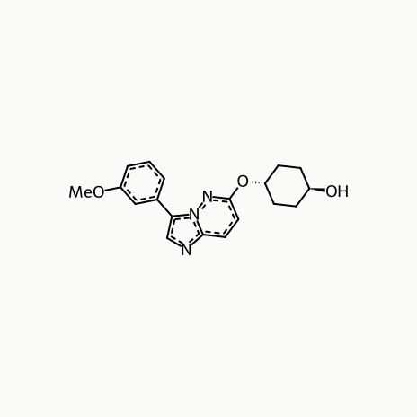 COc1cccc(-c2cnc3ccc(O[C@H]4CC[C@H](O)CC4)nn23)c1